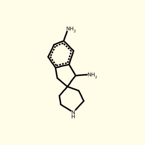 Nc1ccc2c(c1)C(N)C1(CCNCC1)C2